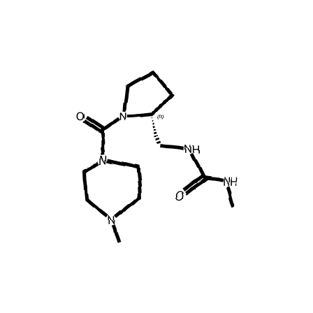 CNC(=O)NC[C@H]1CCCN1C(=O)N1CCN(C)CC1